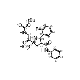 CC(C)(C)OC(=O)NCC(=O)C1(C(=O)O)CC(C(=O)Nc2ccccc2)C(c2ccccc2F)N1